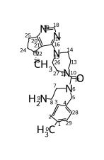 Cc1ccc(CN(CCN)C(=O)N2CCN(c3ncnc4c3[C@H](C)CC4)CC2)cc1